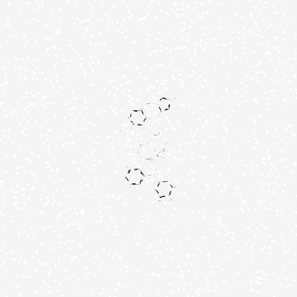 N#Cc1ccc(Cn2cncc2CCN(CC2CC2)C[C@@H]2CCCN(CC(c3ccccc3)c3ccccc3)C2)cc1